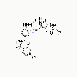 Cc1[nH]c(/C=C2\C(=O)Nc3ccc(C(=O)N[C@H](C)c4ccc(Cl)cc4)cc32)c(C)c1NC(=O)CCl